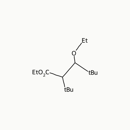 CCOC(=O)C(C(OCC)C(C)(C)C)C(C)(C)C